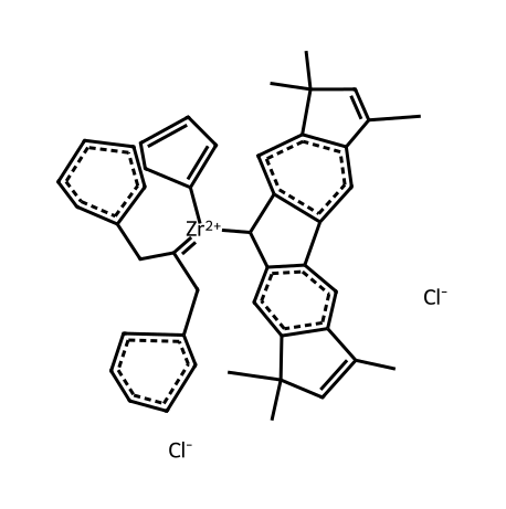 CC1=CC(C)(C)c2cc3c(cc21)-c1cc2c(cc1[CH]3[Zr+2]([C]1=CC=CC1)=[C](Cc1ccccc1)Cc1ccccc1)C(C)(C)C=C2C.[Cl-].[Cl-]